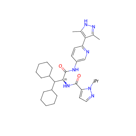 Cc1n[nH]c(C)c1-c1ccc(NC(=O)[C@@H](NC(=O)c2ccnn2C(C)C)C(C2CCCCC2)C2CCCCC2)cn1